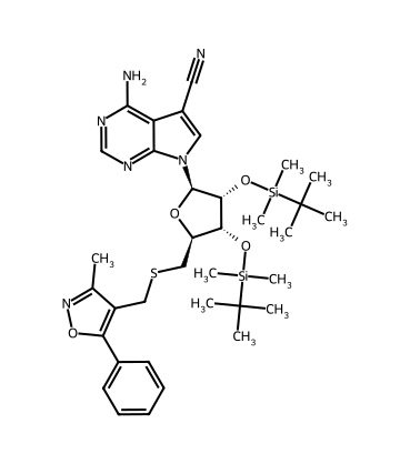 Cc1noc(-c2ccccc2)c1CSC[C@H]1O[C@@H](n2cc(C#N)c3c(N)ncnc32)[C@H](O[Si](C)(C)C(C)(C)C)[C@@H]1O[Si](C)(C)C(C)(C)C